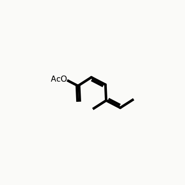 C=C(/C=C\C(C)=C/C)OC(C)=O